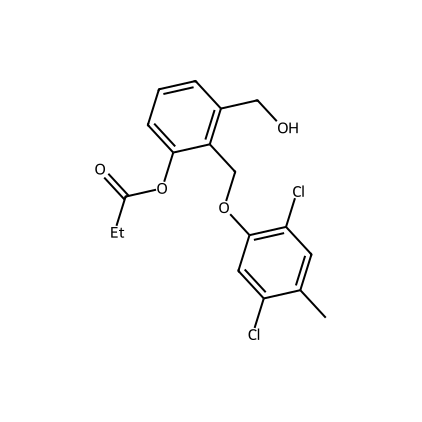 CCC(=O)Oc1cccc(CO)c1COc1cc(Cl)c(C)cc1Cl